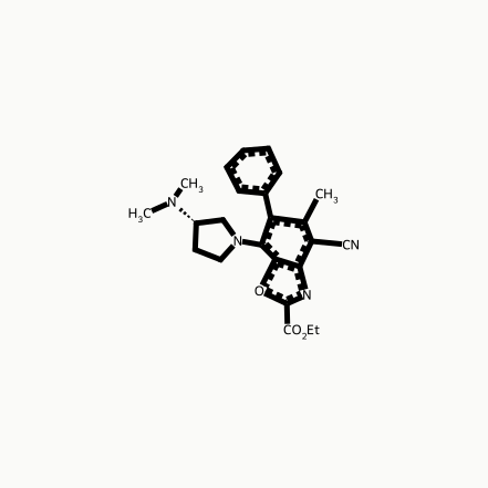 CCOC(=O)c1nc2c(C#N)c(C)c(-c3ccccc3)c(N3CC[C@H](N(C)C)C3)c2o1